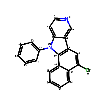 Brc1cc2c3cnccc3n(-c3ccccc3)c2c2ccccc12